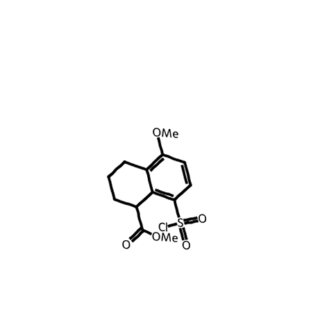 COC(=O)C1CCCc2c(OC)ccc(S(=O)(=O)Cl)c21